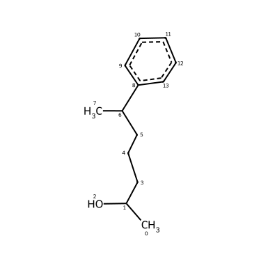 CC(O)CCCC(C)c1ccccc1